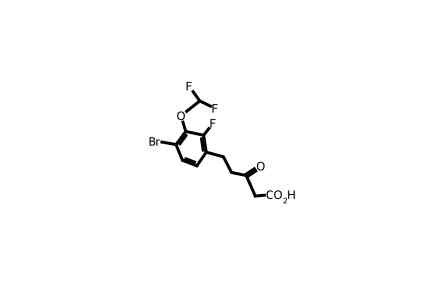 O=C(O)CC(=O)CCc1ccc(Br)c(OC(F)F)c1F